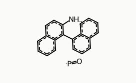 Nc1ccc2ccccc2c1-c1cccc2ccccc12.O=[P]